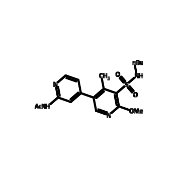 CCCCNS(=O)(=O)c1c(OC)ncc(-c2ccnc(NC(C)=O)c2)c1C